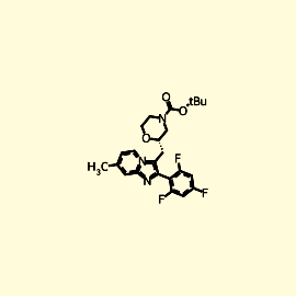 Cc1ccn2c(C[C@H]3CN(C(=O)OC(C)(C)C)CCO3)c(-c3c(F)cc(F)cc3F)nc2c1